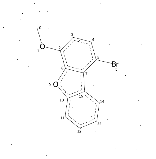 COc1ccc(Br)c2c1oc1ccccc12